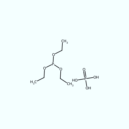 CCOP(OCC)OCC.O=P(O)(O)O